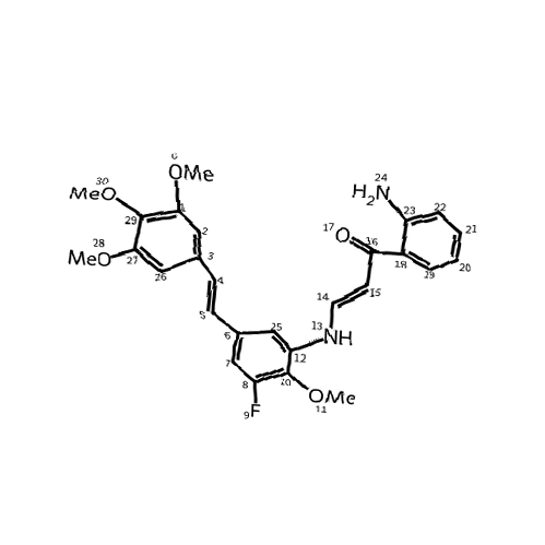 COc1cc(C=Cc2cc(F)c(OC)c(NC=CC(=O)c3ccccc3N)c2)cc(OC)c1OC